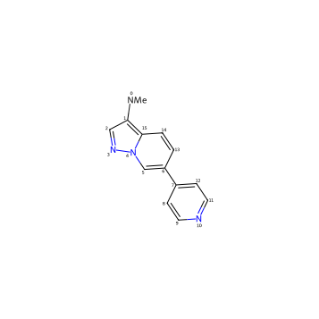 CNc1cnn2cc(-c3ccncc3)ccc12